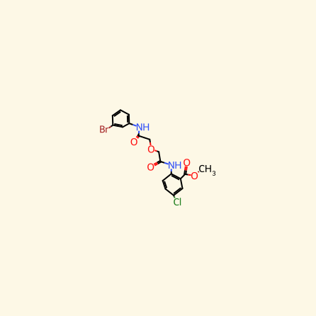 COC(=O)c1cc(Cl)ccc1NC(=O)COCC(=O)Nc1cccc(Br)c1